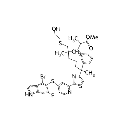 COC(=O)C(C)Cc1cccc(C(C)(CCCC(C)(C)CSCCO)c2csc(-c3cc(Sc4c(F)cc5[nH]ccc5c4Br)ccn3)n2)c1